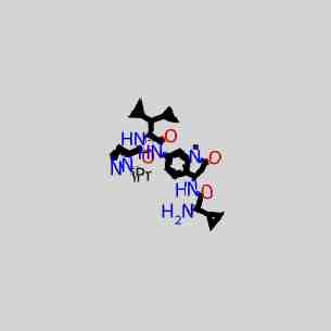 CC(C)n1nccc1C(=O)N[C@H](C(=O)Nc1ccc2c(c1)N(C)C(=O)CC2NC(=O)[C@H](N)C1CC1)C(C1CC1)C1CC1